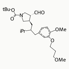 COCCCOc1cc(CC(C[C@H]2CN(C(=O)OC(C)(C)C)C[C@@H]2C=O)C(C)C)ccc1OC